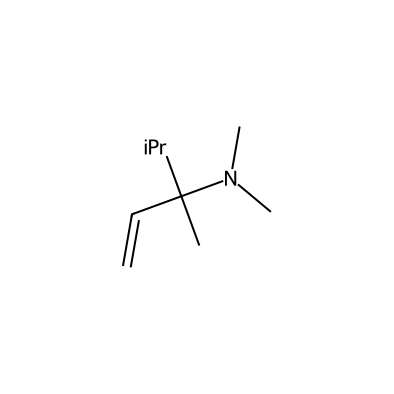 C=CC(C)(C(C)C)N(C)C